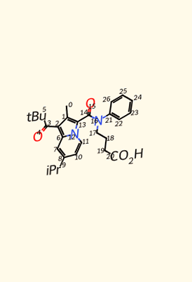 Cc1c(C(=O)C(C)(C)C)c2cc(C(C)C)ccn2c1C(=O)N(CCCC(=O)O)c1ccccc1